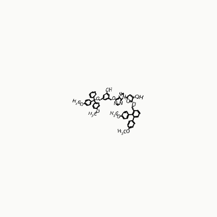 COc1ccc(-c2cccc(CO[C@@H]3O[C@@H](n4cnc5c(OCc6cc(O)cc(COC(c7ccccc7)(c7ccc(OC)cc7)c7ccc(OC)cc7)c6)ncnc54)C[C@@H]3O)c2-c2ccc(OC)cc2)cc1